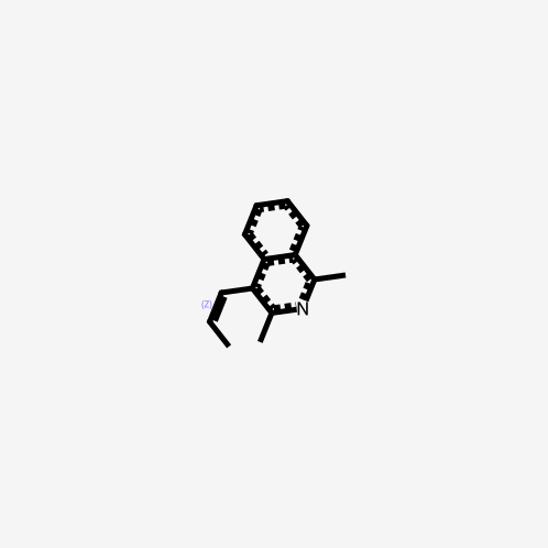 C/C=C\c1c(C)nc(C)c2ccccc12